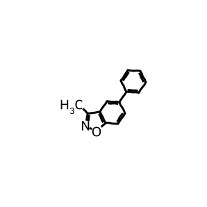 Cc1noc2ccc(-c3ccccc3)cc12